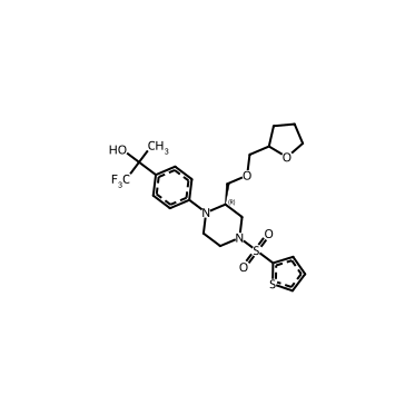 CC(O)(c1ccc(N2CCN(S(=O)(=O)c3cccs3)C[C@@H]2COCC2CCCO2)cc1)C(F)(F)F